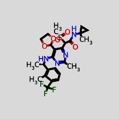 Cc1nc(N[C@H](C)c2cccc(C(F)(F)F)c2C)c(C2OCCO2)c(C(C(=O)NC2(C)CC2)S(C)(=O)=O)n1